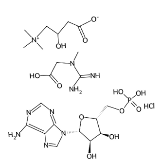 CN(CC(=O)O)C(=N)N.C[N+](C)(C)CC(O)CC(=O)[O-].Cl.Nc1ncnc2c1ncn2[C@@H]1O[C@H](COP(=O)(O)O)[C@@H](O)[C@H]1O